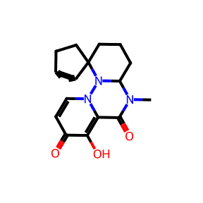 CN1C(=O)c2c(O)c(=O)ccn2N2C1CCCC21CCc2ccccc21